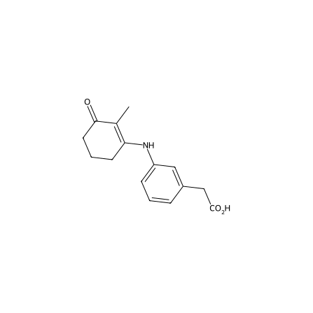 CC1=C(Nc2cccc(CC(=O)O)c2)CCCC1=O